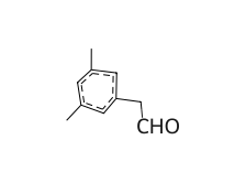 Cc1cc(C)cc(CC=O)c1